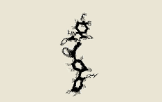 O=C(CN1C(=O)NC2(CCC(F)(F)CC2)C1=O)c1ccc(-c2ccccc2O)cc1